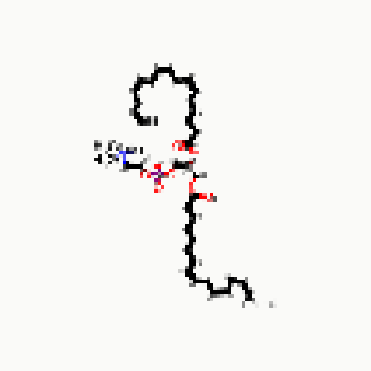 CC/C=C\C/C=C\C/C=C\C/C=C\CCCCC(=O)O[C@H](COC(=O)CCCCCC/C=C\C/C=C\C/C=C\CCCCC)COP(=O)([O-])OCC[N+](C)(C)C